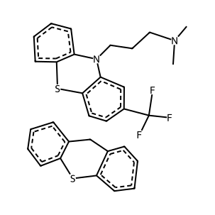 CN(C)CCCN1c2ccccc2Sc2ccc(C(F)(F)F)cc21.c1ccc2c(c1)Cc1ccccc1S2